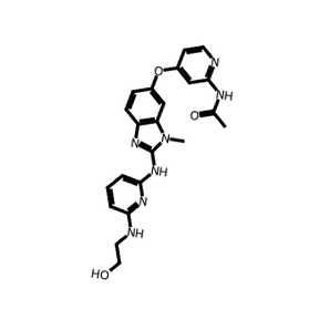 CC(=O)Nc1cc(Oc2ccc3nc(Nc4cccc(NCCO)n4)n(C)c3c2)ccn1